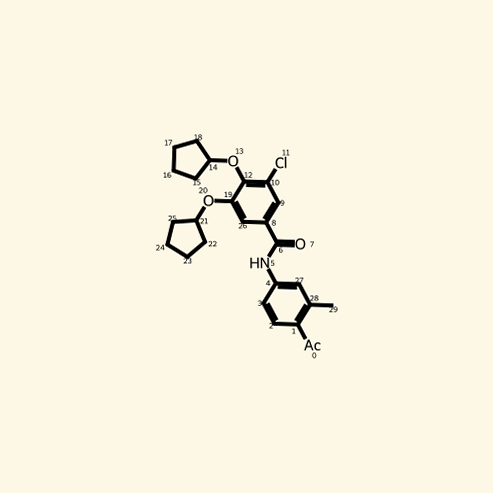 CC(=O)c1ccc(NC(=O)c2cc(Cl)c(OC3CCCC3)c(OC3CCCC3)c2)cc1C